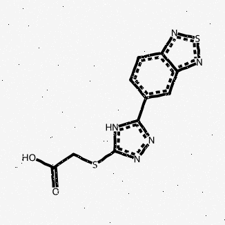 O=C(O)CSc1nnc(-c2ccc3nsnc3c2)[nH]1